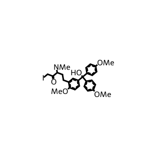 CNC(CCc1cc(C(O)(c2ccc(OC)cc2)c2ccc(OC)cc2)ccc1OC)C(=O)CI